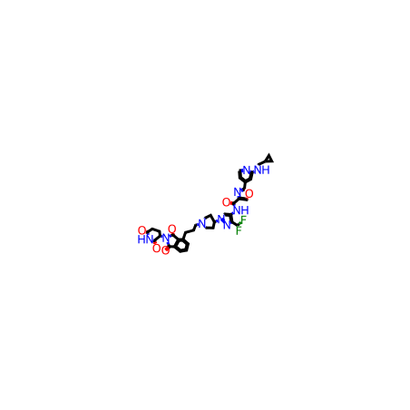 O=C1CCC(N2C(=O)c3cccc(CCCN4CCC(n5cc(NC(=O)c6coc(-c7ccnc(NCC8CC8)c7)n6)c(C(F)F)n5)CC4)c3C2=O)C(=O)N1